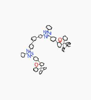 c1ccc(-c2nc(-c3ccc(-c4cccc(-c5ccc(-c6nc(-c7ccccc7)nc(-c7ccc(-c8cccc9c8Oc8ccccc8C98c9ccccc9-c9ccccc98)cc7)n6)cc5)c4)cc3)nc(-c3ccc(-c4cccc5c4Oc4ccccc4C54c5ccccc5-c5ccccc54)cc3)n2)cc1